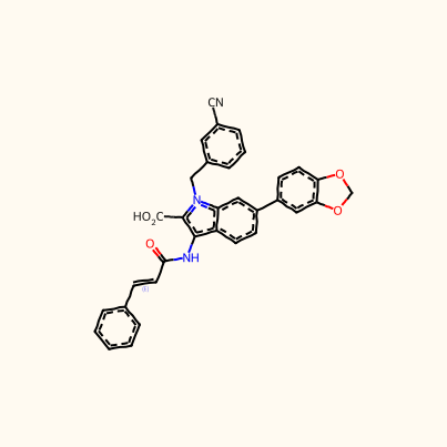 N#Cc1cccc(Cn2c(C(=O)O)c(NC(=O)/C=C/c3ccccc3)c3ccc(-c4ccc5c(c4)OCO5)cc32)c1